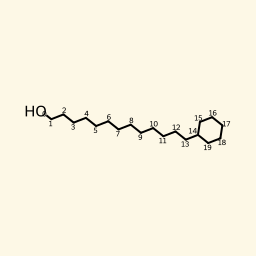 OCCCCCCCCCCCCCC1CCCCC1